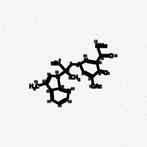 CCCCC(C)(Cn1cc(OC(C)=O)c(=O)c(C(=O)NC)n1)n1cc(C)c2cccnc21